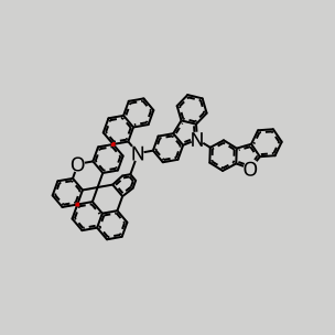 c1ccc2c(c1)Oc1ccccc1C21c2cc(N(c3ccc4c(c3)c3ccccc3n4-c3ccc4oc5ccccc5c4c3)c3cccc4ccccc34)ccc2-c2cccc3cccc1c23